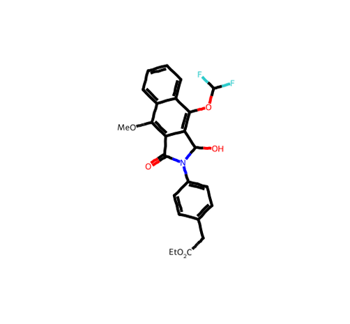 CCOC(=O)Cc1ccc(N2C(=O)c3c(c(OC(F)F)c4ccccc4c3OC)C2O)cc1